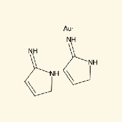 N=C1C=CCN1.N=C1C=CCN1.[Au]